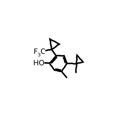 Cc1cc(O)c(C2(C(F)(F)F)CC2)cc1C1(C)CC1